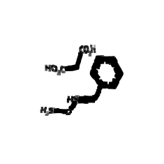 O=C(O)CC(=O)O.[SiH3]O[SiH]=Cc1ccccc1